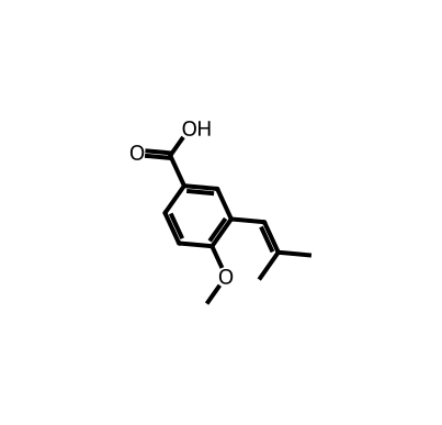 COc1ccc(C(=O)O)cc1C=C(C)C